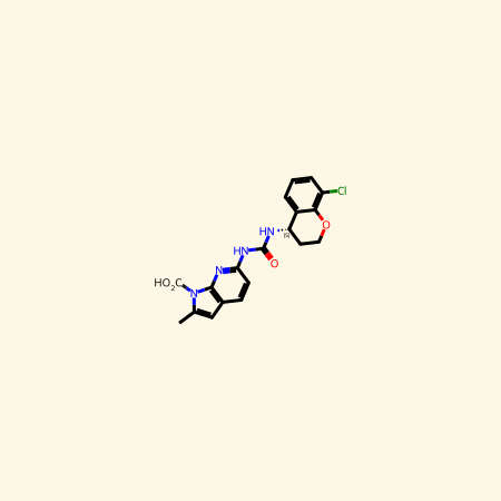 Cc1cc2ccc(NC(=O)N[C@H]3CCOc4c(Cl)cccc43)nc2n1C(=O)O